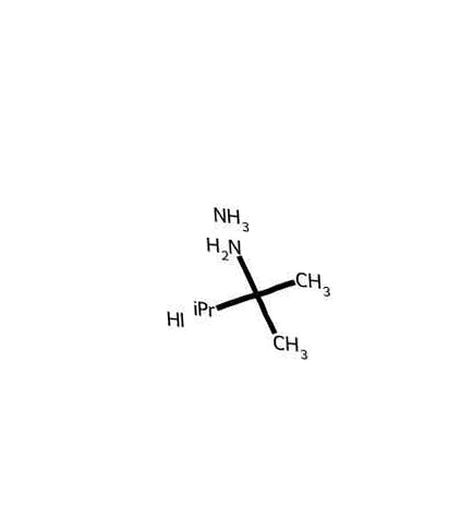 CC(C)C(C)(C)N.I.N